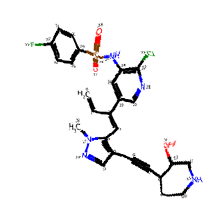 C=C/C(=C\c1c(C#CC2CCNCC2O)cnn1C)c1cnc(Cl)c(NS(=O)(=O)c2ccc(F)cc2)c1